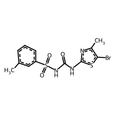 Cc1cccc(S(=O)(=O)NC(=O)Nc2nc(C)c(Br)s2)c1